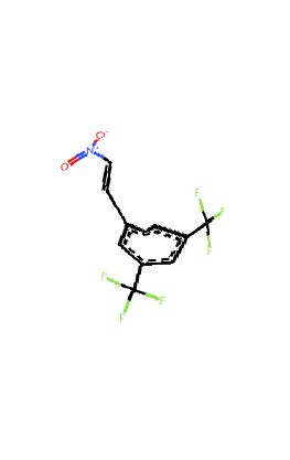 O=[N+]([O-])/C=C/c1cc(C(F)(F)F)cc(C(F)(F)F)c1